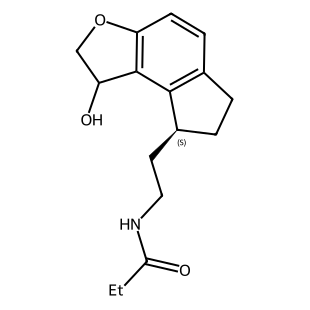 CCC(=O)NCC[C@@H]1CCc2ccc3c(c21)C(O)CO3